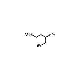 CCCC(CCSC)CC(C)C